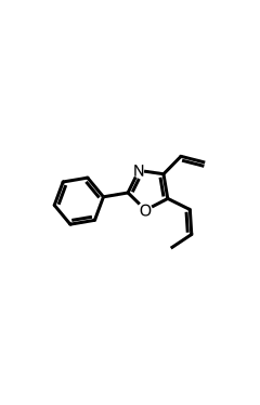 C=Cc1nc(-c2ccccc2)oc1/C=C\C